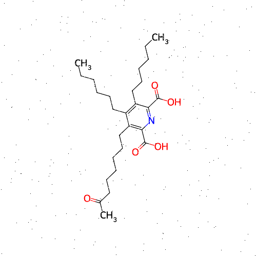 CCCCCCc1c(C(=O)O)nc(C(=O)O)c(CCCCCCC(C)=O)c1CCCCCC